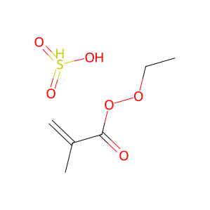 C=C(C)C(=O)OOCC.O=[SH](=O)O